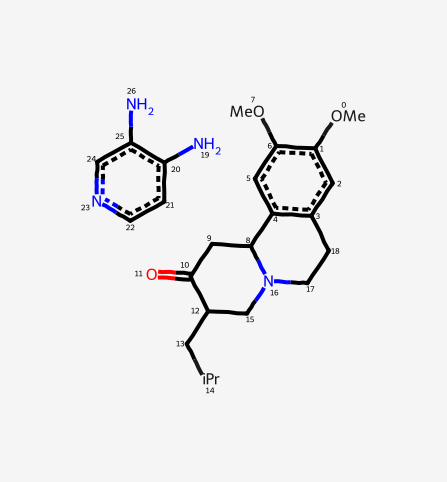 COc1cc2c(cc1OC)C1CC(=O)C(CC(C)C)CN1CC2.Nc1ccncc1N